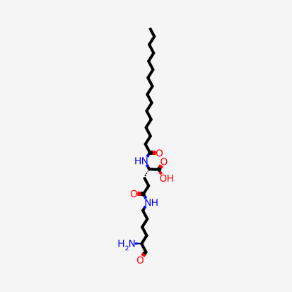 CCCCCCCCCCCCCCCC(=O)N[C@@H](CCC(=O)NCCCC[C@H](N)C=O)C(=O)O